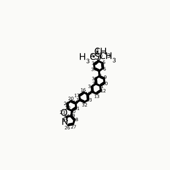 C[Si](C)(C)c1ccc(-c2ccc3ccc(-c4ccc(-c5ccc6oc7ncccc7c6c5)cc4)cc3c2)cc1